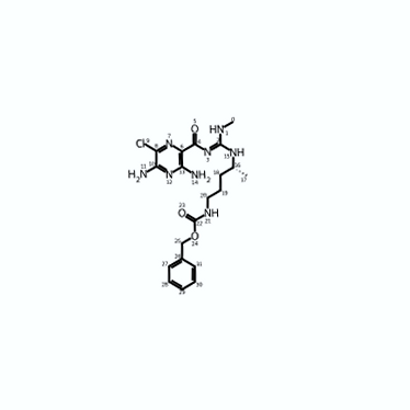 CN/C(=N\C(=O)c1nc(Cl)c(N)nc1N)N[C@H](C)CCCNC(=O)OCc1ccccc1